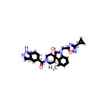 Cc1cccc2c1C1(CCN(C(=O)c3ccc4[nH]ncc4c3)CC1)C(=O)N2Cc1nc(C2CC2)no1